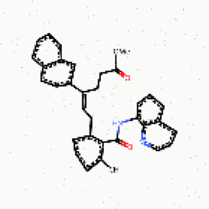 COC(=O)CCC(=CCc1cccc(C)c1C(=O)Nc1cccc2cccnc12)c1ccc2ccccc2c1